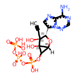 C#C[C@]1(O)[C@H](c2cnc3c(N)ncnn23)O[C@@H]2C(OP(=O)(O)OP(=O)(O)OP(=O)(O)O)[C@@]21O